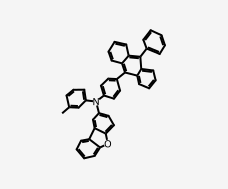 Cc1cccc(N(c2ccc(-c3c4ccccc4c(-c4ccccc4)c4ccccc34)cc2)c2ccc3oc4ccccc4c3c2)c1